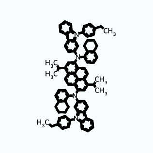 CCc1ccc(-n2c3ccccc3c3ccc(N(c4cccc5c4CCCC5)c4cc(C(C)C)c5ccc6c(N(c7ccc8c9ccccc9n(-c9ccc(CC)cc9)c8c7)c7cccc8c7CCCC8)cc(C(C)C)c7ccc4c5c76)cc32)cc1